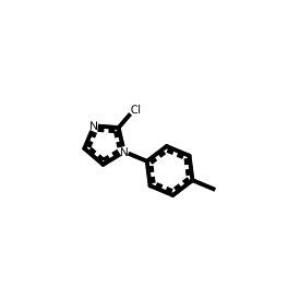 Cc1ccc(-n2ccnc2Cl)cc1